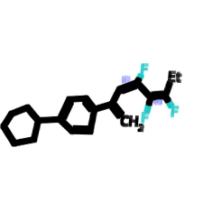 C=C(/C=C(F)\C(F)=C(\F)CC)c1ccc(C2CCCCC2)cc1